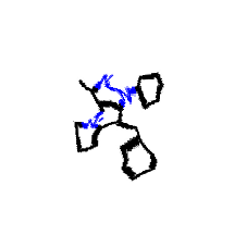 Cc1nn(-c2ccccc2)c2c1-[n+]1ccccc1C2=Cc1ccccc1